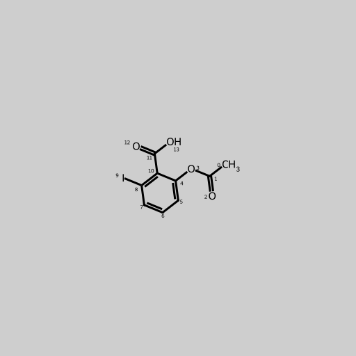 CC(=O)Oc1cccc(I)c1C(=O)O